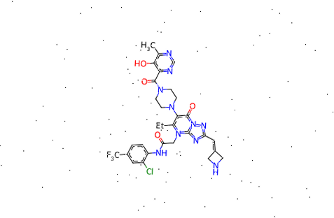 CCc1c(N2CCN(C(=O)c3ncnc(C)c3O)CC2)c(=O)n2nc(C=C3CNC3)nc2n1CC(=O)Nc1ccc(C(F)(F)F)cc1Cl